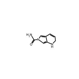 NC(=O)n1cc2c(c1)NCC=C2